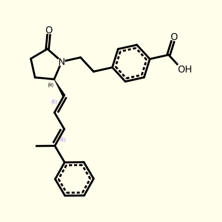 C/C(=C\C=C\[C@H]1CCC(=O)N1CCc1ccc(C(=O)O)cc1)c1ccccc1